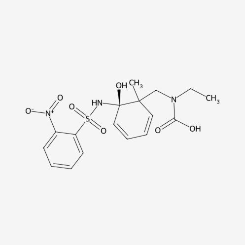 CCN(CC1(C)C=CC=C[C@]1(O)NS(=O)(=O)c1ccccc1[N+](=O)[O-])C(=O)O